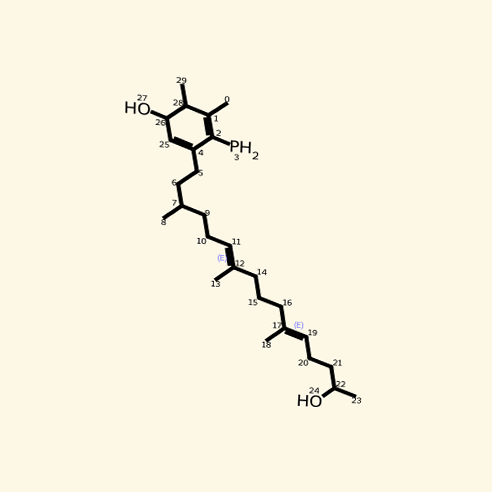 CC1=C(P)C(CCC(C)CC/C=C(\C)CCC/C(C)=C/CCC(C)O)=CC(O)C1C